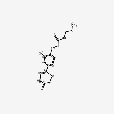 NCCNC(=O)COc1ccc(C2=NNC(=O)CC2)cc1Cl